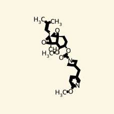 COc1ccc(CC2CN(C(=O)O[C@@H]3CC[C@]4(CO4)C([C@@]4(C)O[C@@H]4CC=C(C)C)[C@@H]3OC)C2)cn1